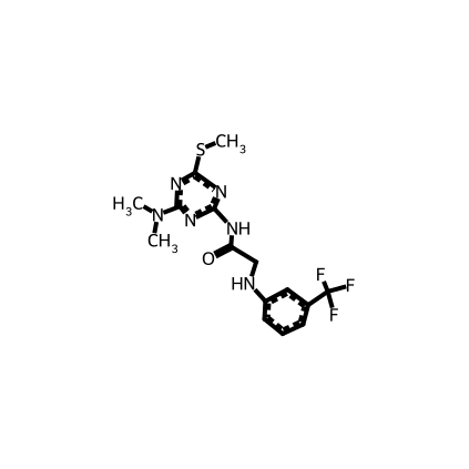 CSc1nc(NC(=O)CNc2cccc(C(F)(F)F)c2)nc(N(C)C)n1